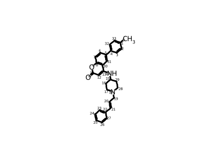 Cc1ccc(-c2ccc3oc(=O)cc(NC4CCN(C/C=C/c5ccccc5)CC4)c3c2)cc1